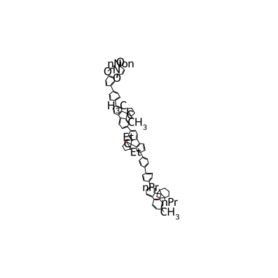 CCCCCCCCCC(Oc1ccc(-c2ccc(-c3ccc4c(c3)C3(c5cc(-c6ccc7c(c6)C6(c8cc(-c9ccc(-c%10ccc(-c%11ccc%12c(c%11)C%11(c%13cc(C)ccc%13-%12)C%12(CCC)CCCC%11(CCC)CCC%12)cc%10)cc9)ccc8-7)C7(CC)CCC6(CC)CC7)ccc5-4)C4(C)CCC3(C)CC4)cc2)cc1)N1C(=O)C=CC1=O